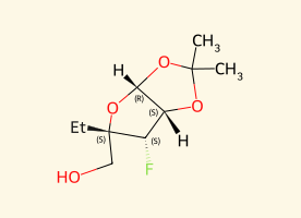 CC[C@@]1(CO)O[C@@H]2OC(C)(C)O[C@@H]2[C@@H]1F